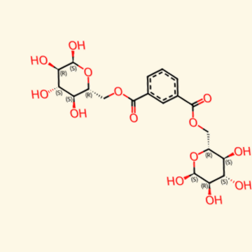 O=C(OC[C@H]1O[C@H](O)[C@H](O)[C@@H](O)[C@@H]1O)c1cccc(C(=O)OC[C@H]2O[C@H](O)[C@H](O)[C@@H](O)[C@@H]2O)c1